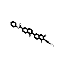 O=C(Oc1ccccc1)c1ccc2c(F)c(-c3ccc4c(F)c(C#CC(F)(F)F)c(F)cc4c3)ccc2c1